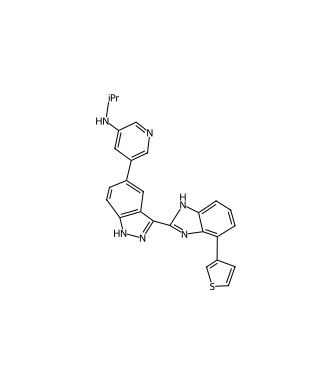 CC(C)Nc1cncc(-c2ccc3[nH]nc(-c4nc5c(-c6ccsc6)cccc5[nH]4)c3c2)c1